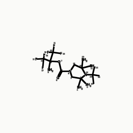 BC1(B)CN(C(=O)OC(B)(C(F)(F)F)C(F)(F)F)CC(B)(B)N1C(C)(C)C